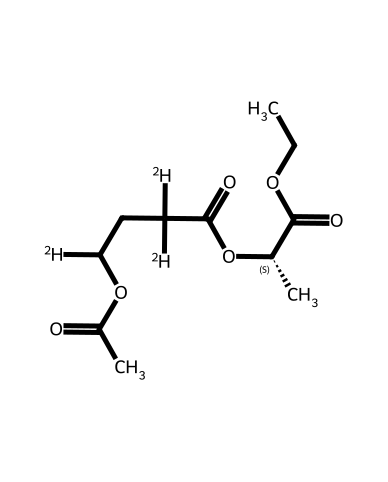 [2H]C(CC([2H])([2H])C(=O)O[C@@H](C)C(=O)OCC)OC(C)=O